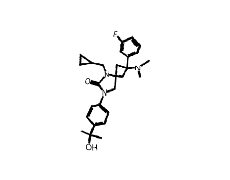 CN(C)C1(c2cccc(F)c2)CC2(CN(c3ccc(C(C)(C)O)cc3)C(=O)N2CC2CC2)C1